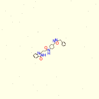 O=C(CCc1nc2ccccc2c(=O)[nH]1)NC1CCC(c2nnc(Cc3ccccc3)o2)CC1